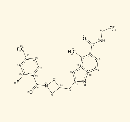 Cc1c(C(=O)NCC(F)(F)F)ccc2nn(CC3CN(C(=O)c4ccc(C(F)(F)F)cc4F)C3)cc12